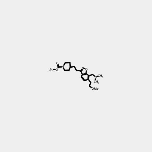 COCCc1ccc2c(CCC3CCN(C(=O)OC(C)(C)C)CC3)noc2c1CN(C)C